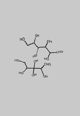 O=CC(O)C(O)(O)C(O)CO.O=CC(O)C(O)C(O)C(O)CO